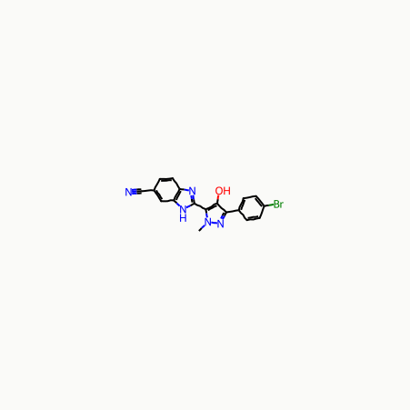 Cn1nc(-c2ccc(Br)cc2)c(O)c1-c1nc2ccc(C#N)cc2[nH]1